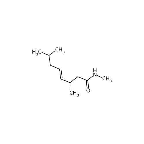 CNC(=O)C[C@H](C)/C=C/CC(C)C